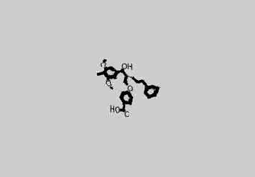 COc1cc(C(O)[C@H](CCCc2ccccc2)COc2ccc(C(=O)O)cc2)cc(OC)c1C